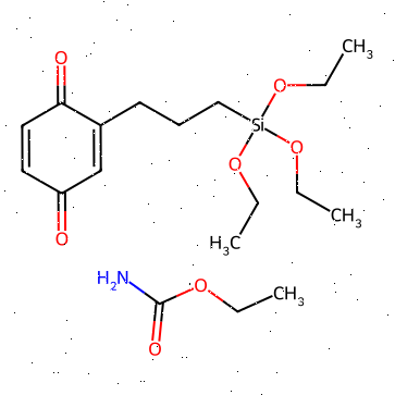 CCOC(N)=O.CCO[Si](CCCC1=CC(=O)C=CC1=O)(OCC)OCC